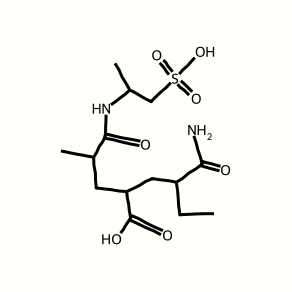 CCC(CC(CC(C)C(=O)NC(C)CS(=O)(=O)O)C(=O)O)C(N)=O